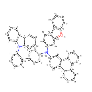 C1=CC2c3ccccc3N(c3ccccc3-c3ccc(N(c4ccc(-c5ccccc5-c5ccccc5)cc4)c4ccc5c(c4)oc4ccccc45)cc3)C2C=C1